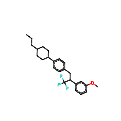 CCCC1CCC(c2ccc(CC(c3cccc(OC)c3)C(F)(F)F)cc2)CC1